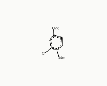 CC(=O)Oc1ccc(OC(C)=O)c(Cl)c1